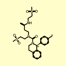 C=C(CCN(CCS(C)(=O)=O)C(=O)N1CCc2ccccc2[C@@H]1c1ccc(F)cc1)NCCS(C)(=O)=O